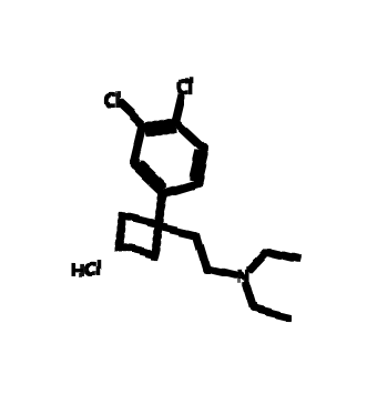 CCN(CC)CCC1(c2ccc(Cl)c(Cl)c2)CCC1.Cl